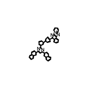 c1cc(-c2ccc(-c3nc4c(nc5ccccn54)c4ccccc34)cc2)cc(-c2nc(-c3ccc4ccccc4c3)cc(-c3ccc4ccccc4c3)n2)c1